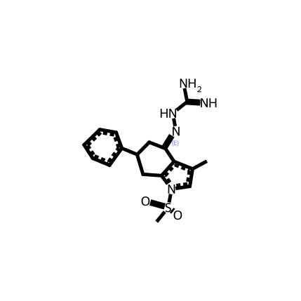 Cc1cn(S(C)(=O)=O)c2c1/C(=N/NC(=N)N)CC(c1ccccc1)C2